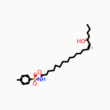 CCCC[C@@H](O)/C=C\CCCCCCCCCCCCC(=O)NS(=O)(=O)c1ccc(C)cc1